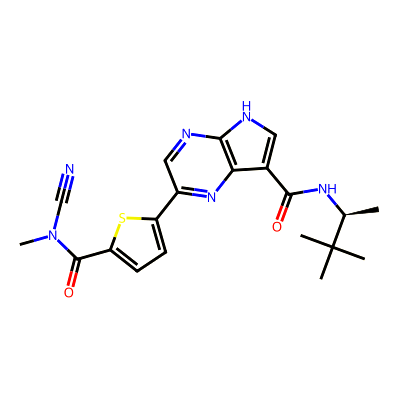 C[C@H](NC(=O)c1c[nH]c2ncc(-c3ccc(C(=O)N(C)C#N)s3)nc12)C(C)(C)C